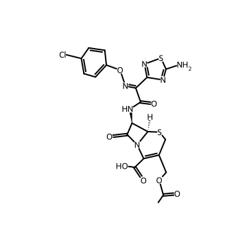 CC(=O)OCC1=C(C(=O)O)N2C(=O)[C@@H](NC(=O)C(=NOc3ccc(Cl)cc3)c3nsc(N)n3)[C@H]2SC1